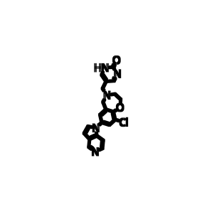 O=c1ncc(CN2CCOc3c(Cl)cc(-n4ccc5cnccc54)cc3C2)c[nH]1